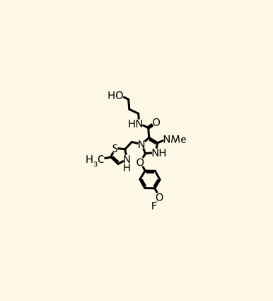 CNC1=C(C(=O)NCCCO)N(CC2NC=C(C)S2)C(Oc2ccc(OF)cc2)N1